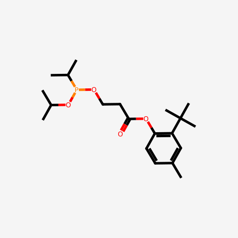 Cc1ccc(OC(=O)CCOP(OC(C)C)C(C)C)c(C(C)(C)C)c1